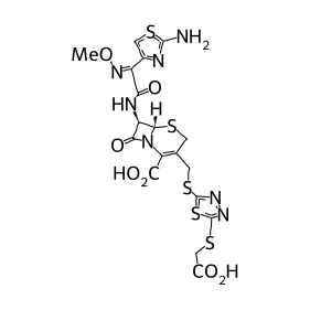 CON=C(C(=O)N[C@@H]1C(=O)N2C(C(=O)O)=C(CSc3nnc(SCC(=O)O)s3)CS[C@@H]12)c1csc(N)n1